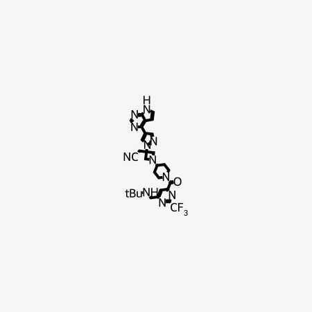 CC(C)(C)NCc1cc(C(=O)N2CCC(N3CC(CC#N)(n4cc(-c5ncnc6[nH]ccc56)cn4)C3)CC2)nc(C(F)(F)F)n1